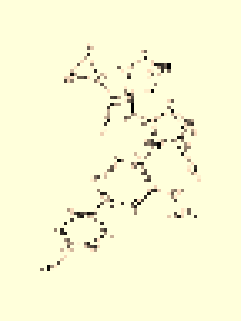 COc1cc(-c2ccc(F)cc2)ccc1-n1c(C[C@@]2(C(=O)C3CC3)CCNC2)n[nH]c1=O